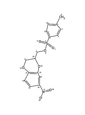 Cc1ccc(S(=O)(=O)OCC2COc3ccc([N+](=O)[O-])[c]c3O2)cc1